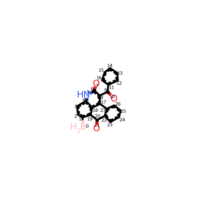 Bc1ccc2[nH]c(=O)c(C(=O)c3ccccc3)c3c2c1C(=O)c1ccccc1-3